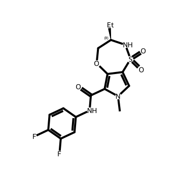 CC[C@@H]1COc2c(cn(C)c2C(=O)Nc2ccc(F)c(F)c2)S(=O)(=O)N1